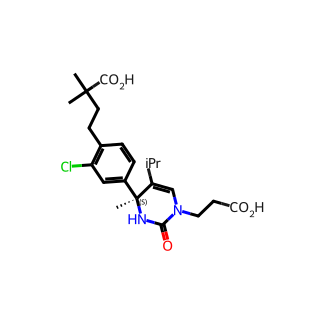 CC(C)C1=CN(CCC(=O)O)C(=O)N[C@@]1(C)c1ccc(CCC(C)(C)C(=O)O)c(Cl)c1